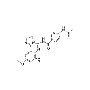 COc1cc(OC)c2c(c1)C1=NCCN1C(NC(=O)c1ccc(NC(C)=O)nc1)=N2